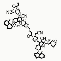 C=CC(=O)N1CCN(c2c(C#N)c(OC3CN(C/C=C/C(=O)N4CCN(c5c(C#N)c(OC[C@]6(F)CCCN(C)C6)nc6c5CCN(c5cccc7cccc(C)c57)C6)C[C@@H]4CC#N)C[C@H]3OC)nc3c2CCN(c2cccc4cccc(C)c24)C3)C[C@@H]1CC#N